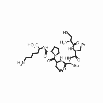 CC[C@H](C)[C@H](NC(=O)[C@H](CC(C)C)NC(=O)[C@@H](N)CS)C(=O)N[C@@H](CC(C)C)C(=O)N1CCC[C@H]1C(=O)N[C@@H](CCCCN)C(=O)O